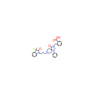 CC1(F)C(=O)N(CCCN2CCC3(CC2)C(=O)N(Cc2ccccc2C(=O)O)CN3c2ccccc2)c2ccccc21